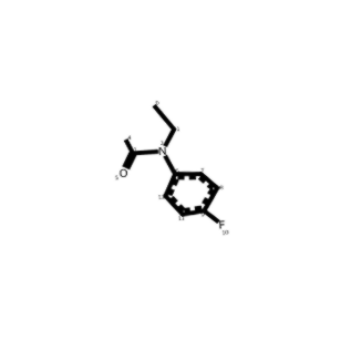 CCN(C(C)=O)c1ccc(F)cc1